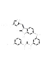 O=C(Nc1cccc(Nc2ccc3c(c2)NC(=O)/C3=C\c2cc(C(=O)O)c[nH]2)c1)Nc1cccc(C(F)(F)F)c1